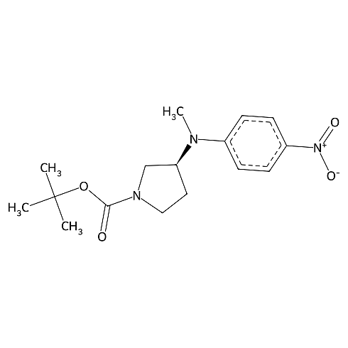 CN(c1ccc([N+](=O)[O-])cc1)[C@H]1CCN(C(=O)OC(C)(C)C)C1